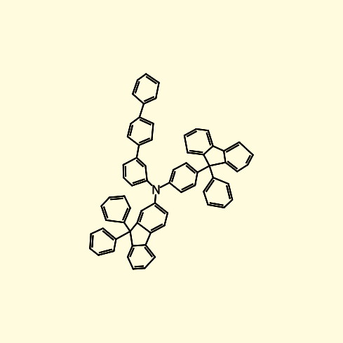 c1ccc(-c2ccc(-c3cccc(N(c4ccc(C5(c6ccccc6)c6ccccc6-c6ccccc65)cc4)c4ccc5c(c4)C(c4ccccc4)(c4ccccc4)c4ccccc4-5)c3)cc2)cc1